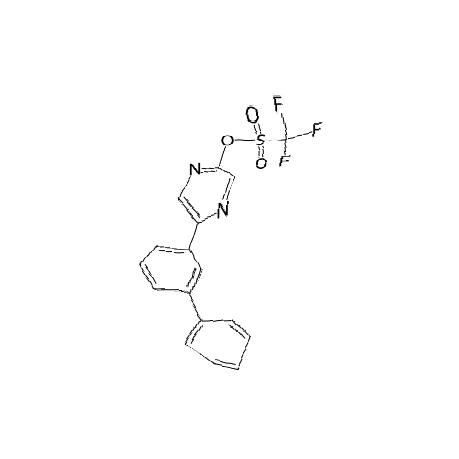 O=S(=O)(Oc1cnc(-c2cccc(-c3ccccc3)c2)cn1)C(F)(F)F